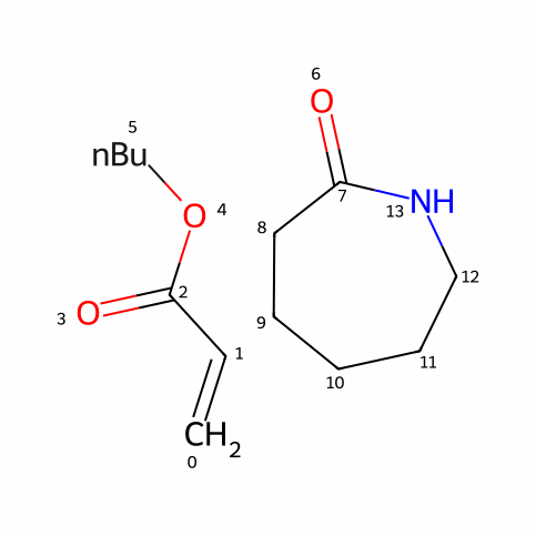 C=CC(=O)OCCCC.O=C1CCCCCN1